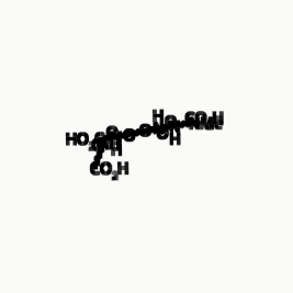 CN[C@@H](CCCCNC(=O)CCC(=O)NCCCOCCCCOCCCNC(=O)CC[C@H](NC(=O)CCCCCCC(=O)O)C(=O)O)C(=O)O